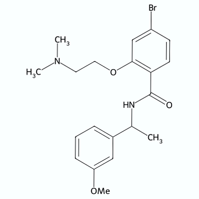 COc1cccc(C(C)NC(=O)c2ccc(Br)cc2OCCN(C)C)c1